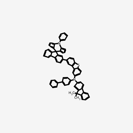 CC1(C)c2ccccc2-c2ccc(N(c3ccc(-c4ccccc4)cc3)c3ccc4sc5ccc(-c6ccc7c(c6)C6(c8ccccc8-7)c7ccccc7N(c7ccccc7)c7ccccc76)cc5c4c3)cc21